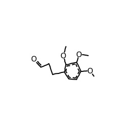 COc1ccc(CCC=O)c(OC)c1OC